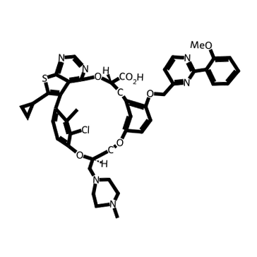 COc1ccccc1-c1nccc(COc2ccc3cc2C[C@@H](C(=O)O)Oc2ncnc4sc(C5CC5)c(c24)-c2ccc(c(Cl)c2C)O[C@H](CN2CCN(C)CC2)CO3)n1